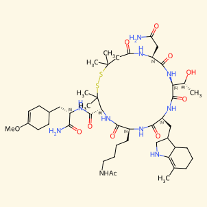 COC1=CCC(C[C@H](NC(=O)[C@H]2NC(=O)[C@H](CCCCNC(C)=O)NC(=O)[C@H](CC3CNC4=C(C)CCCC43)NC(=O)[C@H]([C@@H](C)O)NC(=O)[C@H](CC(N)=O)NC(=O)CC(C)(C)SSC2(C)C)C(N)=O)CC1